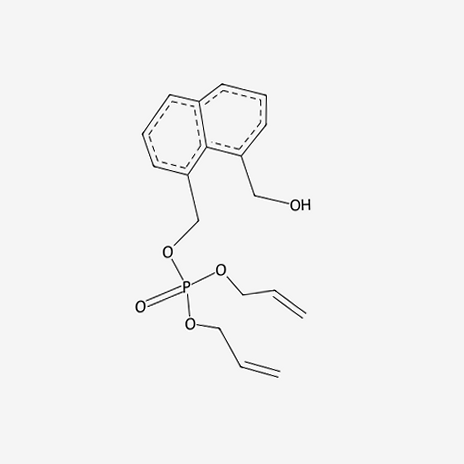 C=CCOP(=O)(OCC=C)OCc1cccc2cccc(CO)c12